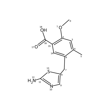 COc1cc(C)c(Cc2cnc(N)s2)cc1C(=O)O